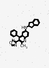 Cc1nc2ccc(NC3Cc4ccccc4C3)cc2c(-c2ccccc2)c1-c1ncon1